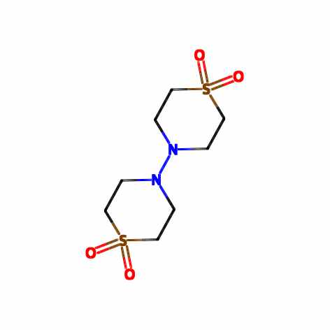 O=S1(=O)CCN(N2CCS(=O)(=O)CC2)CC1